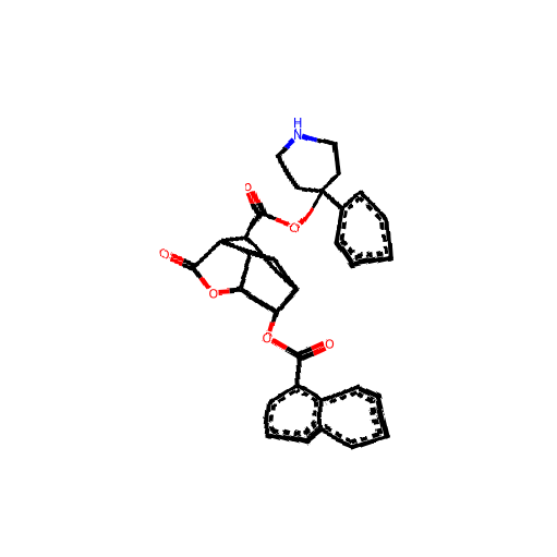 O=C(OC1C2CC3C1OC(=O)C3C2C(=O)OC1(c2ccccc2)CCNCC1)c1cccc2ccccc12